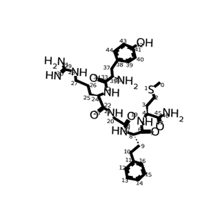 CSCC[C@H](NC(=O)[C@H](CCc1ccccc1)NC(=O)CNC(=O)[C@@H](CCCNC(=N)N)NC(=O)[C@@H](N)Cc1ccc(O)cc1)C(N)=O